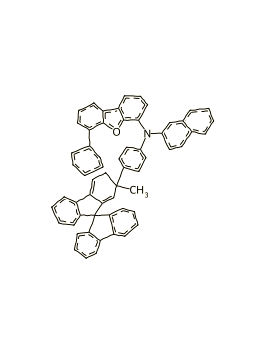 CC1(c2ccc(N(c3ccc4ccccc4c3)c3cccc4c3oc3c(-c5ccccc5)cccc34)cc2)C=C2C(=CC1)c1ccccc1C21c2ccccc2-c2ccccc21